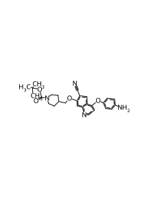 CC(C)(C)OC(=O)N1CCC(COc2cc3nccc(Oc4ccc(N)cc4)c3cc2C#N)CC1